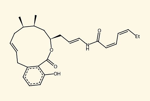 CC/C=C\C=C/C(=O)N/C=C/C[C@@H]1C[C@H](C)[C@H](C)C/C=C/Cc2cccc(O)c2C(=O)O1